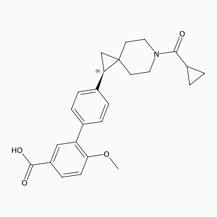 COc1ccc(C(=O)O)cc1-c1ccc([C@H]2CC23CCN(C(=O)C2CC2)CC3)cc1